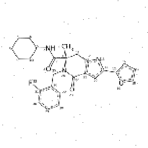 CC1(C(=O)NC2CCCCC2)Cn2nc(-c3ccco3)cc2C(=O)N1Cc1ccccc1F